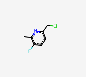 Cc1nc(CCl)ccc1F